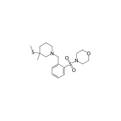 CSC1(C)CCCN(Cc2ccccc2S(=O)(=O)N2CCOCC2)C1